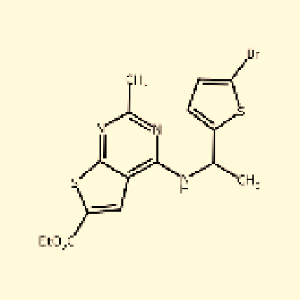 CCOC(=O)c1cc2c(NC(C)c3ccc(Br)s3)nc(C)nc2s1